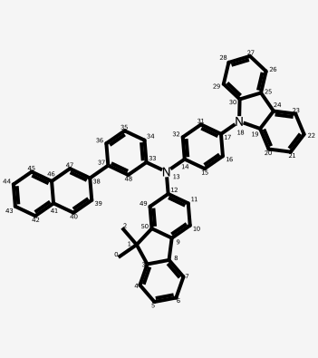 CC1(C)c2ccccc2-c2ccc(N(c3ccc(-n4c5ccccc5c5ccccc54)cc3)c3cccc(-c4ccc5ccccc5c4)c3)cc21